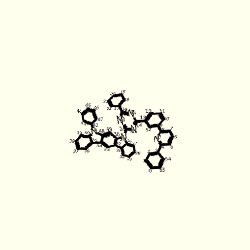 c1ccc(-c2cccc(-c3cccc(-c4nc(-c5ccccc5)nc(-n5c6ccccc6c6cc7c8ccccc8n(-c8ccccc8)c7cc65)n4)c3)n2)cc1